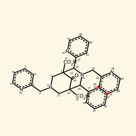 O=C(O)C12CN(Cc3ccccn3)CC(C(=O)O)(C1=O)C(c1ccccn1)N(Cc1ccccn1)C2c1ccccn1